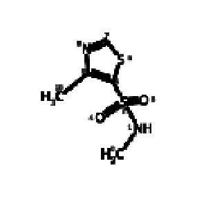 CNS(=O)(=O)c1s[c]nc1C